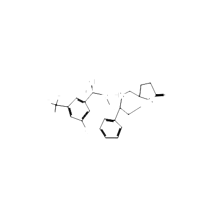 Cc1cc([C@@H](C)OC[C@@]2(c3ccccc3)CC[C@@]3(CCC(=O)N3)CN2)cc(C(F)(F)F)c1